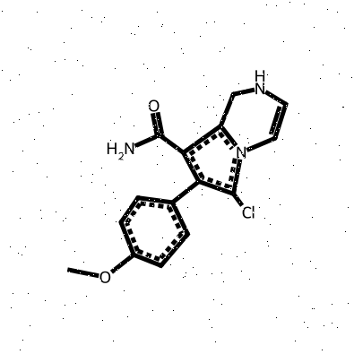 COc1ccc(-c2c(C(N)=O)c3n(c2Cl)C=CNC3)cc1